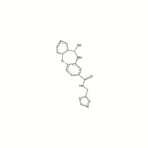 O=C(NCc1cncs1)c1ccc2c(c1)NC(O)c1ccccc1S2